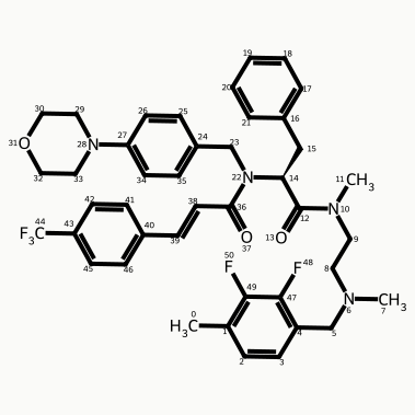 Cc1ccc(CN(C)CCN(C)C(=O)[C@H](Cc2ccccc2)N(Cc2ccc(N3CCOCC3)cc2)C(=O)C=Cc2ccc(C(F)(F)F)cc2)c(F)c1F